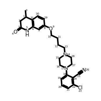 CC1CC(=O)Nc2cc(OCCCCN3CCN(c4cccc(Cl)c4C#N)CC3)ccc21